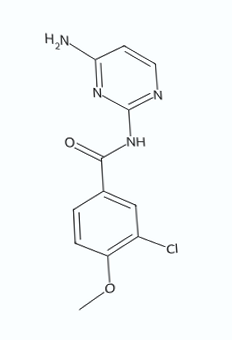 COc1ccc(C(=O)Nc2nccc(N)n2)cc1Cl